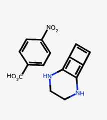 O=C(O)c1ccc([N+](=O)[O-])cc1.c1cc2c3c(c1-2)NCCN3